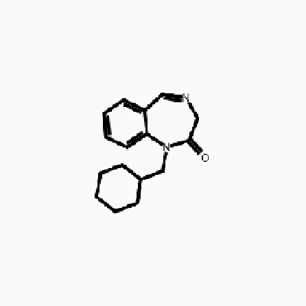 O=C1CN=Cc2ccccc2N1CC1CCCCC1